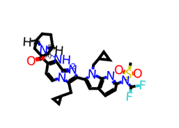 CS(=O)(=O)N(c1ccc2cc(-c3nc4cc(C(=O)N5[C@@H]6CC[C@@H](N)[C@H]5CC6)ccn4c3CC3CC3)n(CC3CC3)c2n1)C(F)F